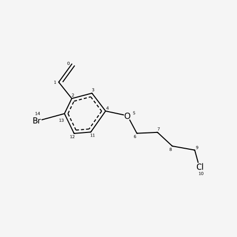 C=Cc1cc(OCCCCCl)ccc1Br